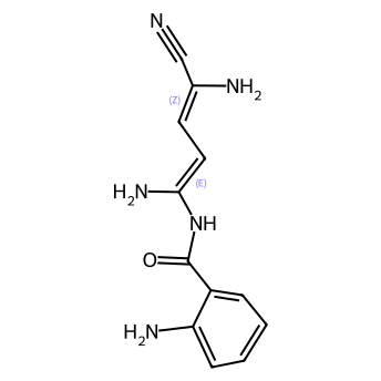 N#C/C(N)=C/C=C(\N)NC(=O)c1ccccc1N